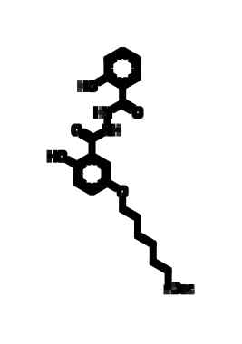 CCCCCCCCCCCCCCCCOc1ccc(O)c(C(=O)NNC(=O)c2ccccc2O)c1